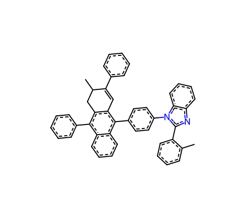 Cc1ccccc1-c1nc2ccccc2n1-c1ccc(-c2c3c(c(-c4ccccc4)c4ccccc24)CC(C)C(c2ccccc2)=C3)cc1